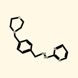 c1cnc(NNCc2ccc(CN3CCOCC3)cc2)nc1